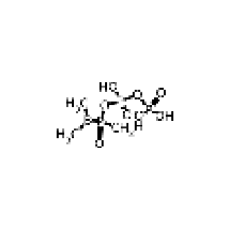 CB(C)P(C)(=O)OP(=O)(O)OP(=O)(O)O